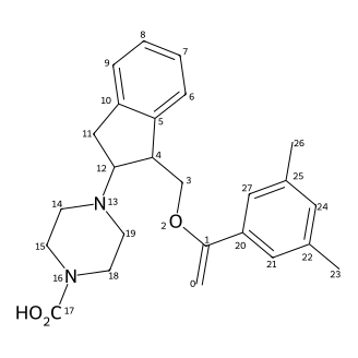 C=C(OCC1c2ccccc2CC1N1CCN(C(=O)O)CC1)c1cc(C)cc(C)c1